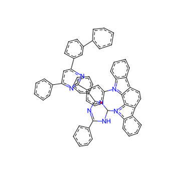 c1ccc(C2=NC(n3c4ccccc4c4ccc5c6ccccc6n(-c6cccc(-c7nc(-c8ccccc8)cc(-c8cccc(-c9ccccc9)c8)n7)c6)c5c43)NC(c3ccccc3)=N2)cc1